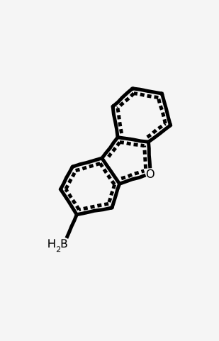 Bc1ccc2c(c1)oc1ccccc12